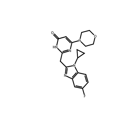 O=c1cc(N2CCOCC2)nc(Cc2nc3cc(F)ccc3n2C2CC2)[nH]1